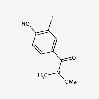 CON(C)C(=O)c1ccc(O)c(I)c1